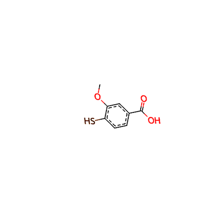 COc1cc(C(=O)O)ccc1S